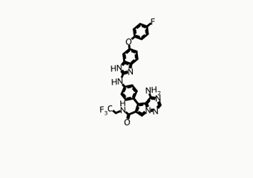 Nc1ncnn2cc(C(=O)NCC(F)(F)F)c(-c3ccc(Nc4nc5ccc(Oc6ccc(F)cc6)cc5[nH]4)cc3)c12